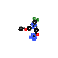 Cn1c(=Nc2ccc(OCc3ccccc3)cc2)n(Cc2ccc(C(=O)Nc3nnn[nH]3)cc2)c2cc(Cl)c(Cl)cc21